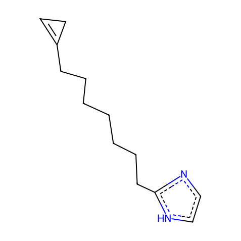 C1=C(CCCCCCCc2ncc[nH]2)C1